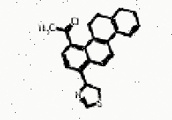 CC(=O)c1ccc(C2CSC=N2)c2ccc3c(c12)CCC1=C3C=CCC1